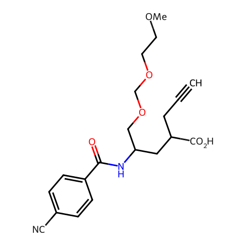 C#CCC(CC(COCOCCOC)NC(=O)c1ccc(C#N)cc1)C(=O)O